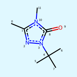 Cc1nn(C(C)(C)C)c(=O)n1C